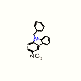 O=[N+]([O-])c1ccc2c(c1)c1ccccc1n2Cc1ccccc1